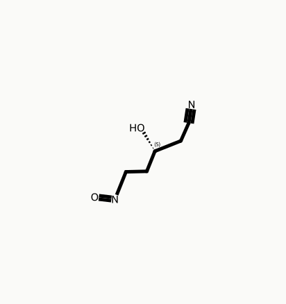 N#CC[C@@H](O)CCN=O